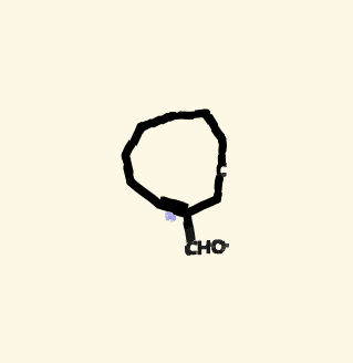 O=[C]/C1=C/CCCCCCCC1